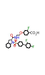 O=C(O)c1ccc(OCCNC(=O)[C@@H]2Cc3ccccc3N2S(=O)(=O)c2ccc(-c3ccc(F)cc3F)cc2)cc1F